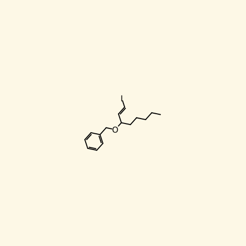 CCCCCC(C=CI)OCc1ccccc1